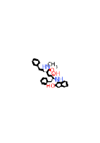 CNC(=O)[C@H](CC=Cc1ccccc1)C[C@H](O)[C@H](Cc1ccccc1)N[C@H]1c2ccccc2C[C@H]1O